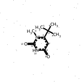 Cn1c(C(C)(C)C)cc(=O)[nH]c1=O